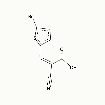 N#C/C(=C/c1ccc(Br)s1)C(=O)O